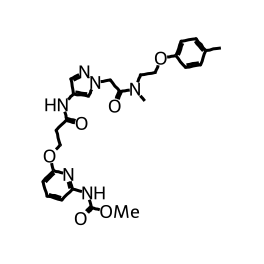 COC(=O)Nc1cccc(OCCC(=O)Nc2cnn(CC(=O)N(C)CCOc3ccc(C)cc3)c2)n1